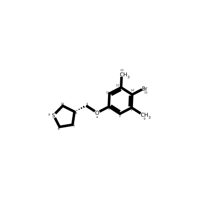 Cc1cc(OC[C@@H]2CCSC2)cc(C)c1Br